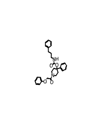 O=C(NCCCc1ccccc1)OC1(c2ccccc2)CCN(C(=O)COc2ccccc2)CC1